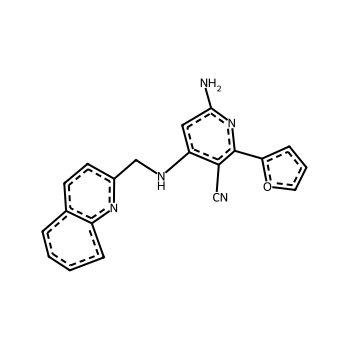 N#Cc1c(NCc2ccc3ccccc3n2)cc(N)nc1-c1ccco1